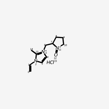 C=Cn1cc[n+](CC2CCC[N+]2=O)c1C.Cl